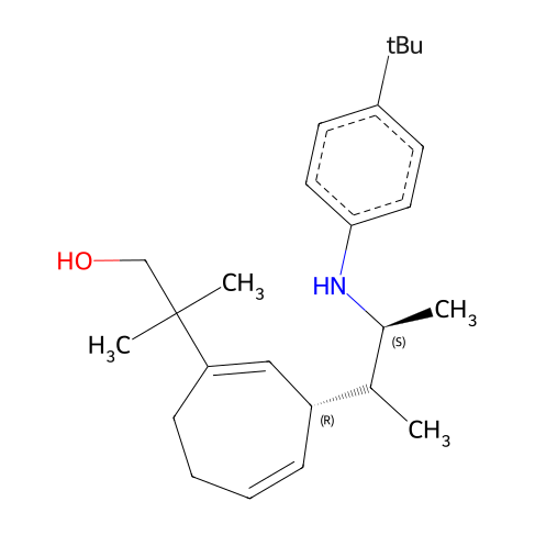 CC([C@@H]1C=CCCC(C(C)(C)CO)=C1)[C@H](C)Nc1ccc(C(C)(C)C)cc1